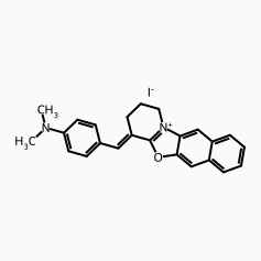 CN(C)c1ccc(C=C2CCC[n+]3c2oc2cc4ccccc4cc23)cc1.[I-]